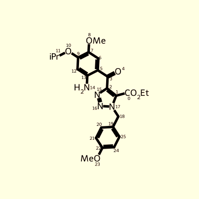 CCOC(=O)c1c(C(=O)c2cc(OC)c(OC(C)C)cc2N)nnn1Cc1ccc(OC)cc1